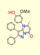 COc1cc(-n2c(C)cc(=O)n3nc(-c4ccccc4)c(-c4ccccc4)c23)ccc1O